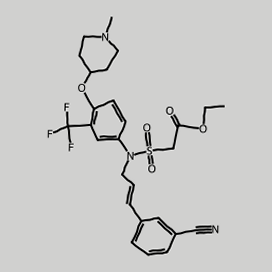 CCOC(=O)CS(=O)(=O)N(C/C=C/c1cccc(C#N)c1)c1ccc(OC2CCN(C)CC2)c(C(F)(F)F)c1